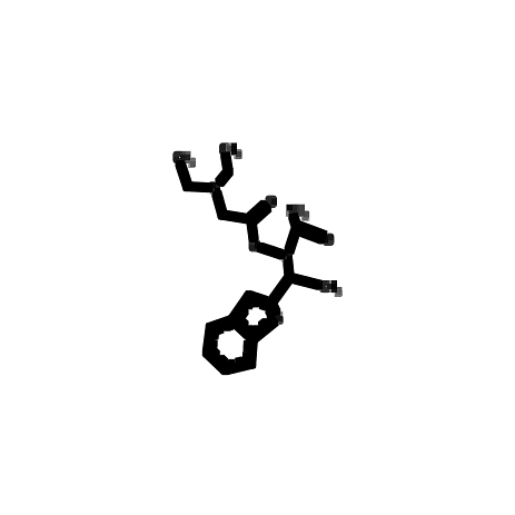 CCN(CC)CC(=O)ON(C(N)=O)C(C)c1cc2ccccc2s1